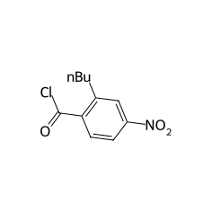 CCCCc1cc([N+](=O)[O-])ccc1C(=O)Cl